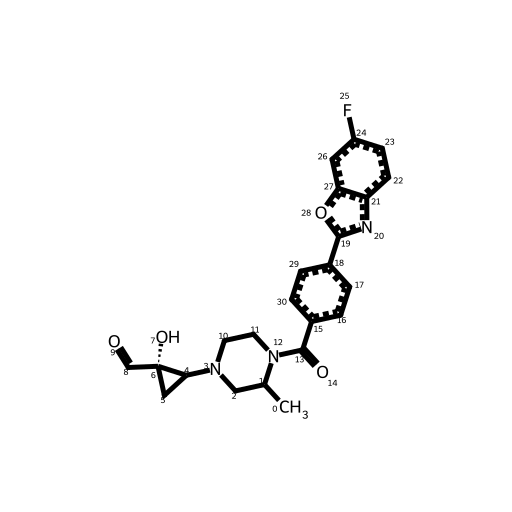 CC1CN(C2C[C@@]2(O)C=O)CCN1C(=O)c1ccc(-c2nc3ccc(F)cc3o2)cc1